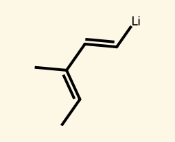 [Li][CH]=CC(C)=CC